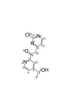 CC(O)c1ccnc(C(=O)Cc2ccnc(Cl)n2)c1